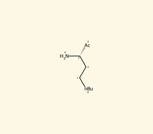 CCCCCC[C@H](N)C(C)=O